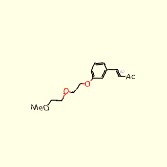 COCCOCCOc1cccc(/C=C/C(C)=O)c1